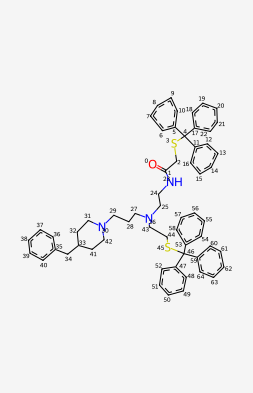 O=C(CSC(c1ccccc1)(c1ccccc1)c1ccccc1)NCCN(CCCN1CCC(Cc2ccccc2)CC1)CCSC(c1ccccc1)(c1ccccc1)c1ccccc1